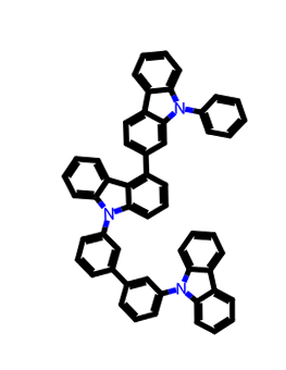 c1ccc(-n2c3ccccc3c3ccc(-c4cccc5c4c4ccccc4n5-c4cccc(-c5cccc(-n6c7ccccc7c7ccccc76)c5)c4)cc32)cc1